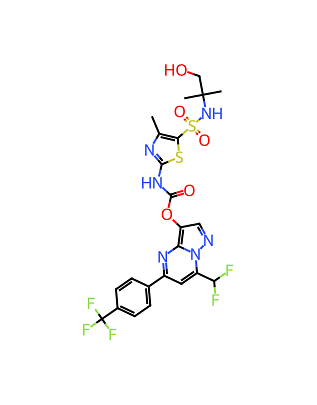 Cc1nc(NC(=O)Oc2cnn3c(C(F)F)cc(-c4ccc(C(F)(F)F)cc4)nc23)sc1S(=O)(=O)NC(C)(C)CO